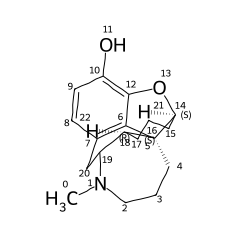 CN1CCC[C@]23c4c5ccc(O)c4O[C@H]2CCC[C@H]3C1C5